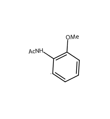 COc1ccc[c]c1NC(C)=O